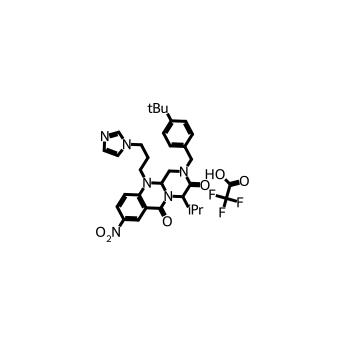 CC(C)C1C(=O)N(Cc2ccc(C(C)(C)C)cc2)CC2N(CCCn3ccnc3)c3ccc([N+](=O)[O-])cc3C(=O)N12.O=C(O)C(F)(F)F